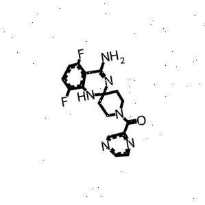 NC1=NC2(CCN(C(=O)c3cnccn3)CC2)Nc2c(F)ccc(F)c21